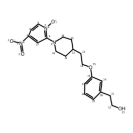 O=[N+]([O-])c1cc[n+]([O-])c(N2CCC(CCOc3cccc(CCO)c3)CC2)c1